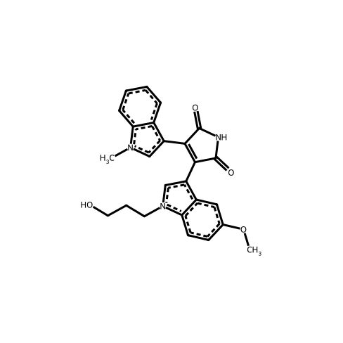 COc1ccc2c(c1)c(C1=C(c3cn(C)c4ccccc34)C(=O)NC1=O)cn2CCCO